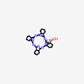 O[SiH2]c1cccc2c3nc4nc(nc5[nH]c(nc6nc(nc([nH]3)c12)-c1ccccc1-6)c1ccccc51)-c1ccccc1-4